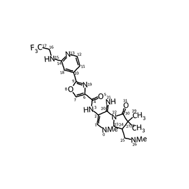 CN/C=C(/NC(=O)c1coc(-c2ccnc(NCC(F)(F)F)c2)n1)C(=N)N1CC(CNC)C(C)(C)C1=O